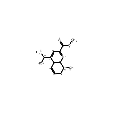 COC(=O)C1=NC2C(C=CC[C@@H]2O)C([C@H](C)O)=C1